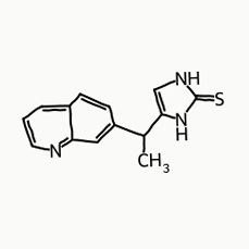 CC(c1ccc2cccnc2c1)c1c[nH]c(=S)[nH]1